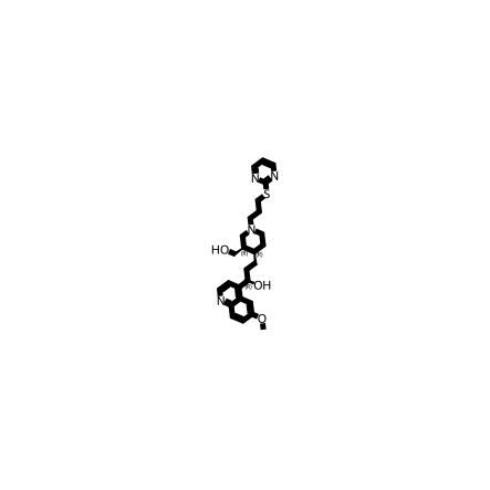 COc1ccc2nccc([C@H](O)CC[C@@H]3CCN(CCCSc4ncccn4)C[C@@H]3CO)c2c1